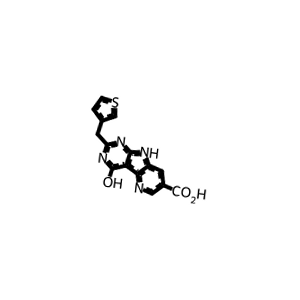 O=C(O)c1cnc2c(c1)[nH]c1nc(Cc3ccsc3)nc(O)c12